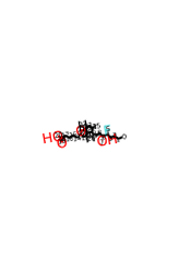 CCCC[C@@H](F)[C@H](O)/C=C/[C@H]1[C@H]2C[C@@H](CCCCC(=O)O)O[C@H]2C[C@H]1C